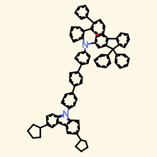 c1ccc(-c2ccccc2-c2ccccc2N(c2ccc(-c3ccc(-c4ccc(-n5c6ccc(C7CCCC7)cc6c6cc(C7CCCC7)ccc65)cc4)cc3)cc2)c2ccc3c(c2)C(c2ccccc2)(c2ccccc2)c2ccccc2-3)cc1